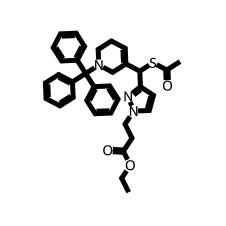 CCOC(=O)CCn1ccc(C(SC(C)=O)C2=CCCN(C(c3ccccc3)(c3ccccc3)c3ccccc3)C2)n1